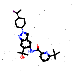 CC(I)[C@H]1CC[C@H](n2cc3cc(NC(=O)c4cccc(C(C)(C)C)n4)c(C(C)(C)O)cc3n2)CC1